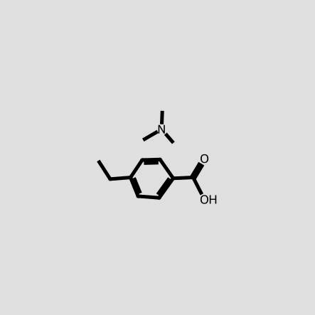 CCc1ccc(C(=O)O)cc1.CN(C)C